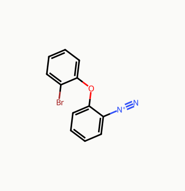 N#[N+]c1ccccc1Oc1ccccc1Br